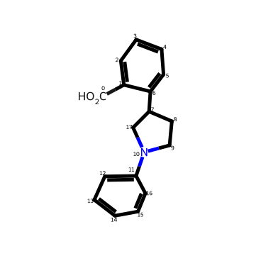 O=C(O)c1ccccc1C1CCN(c2ccccc2)C1